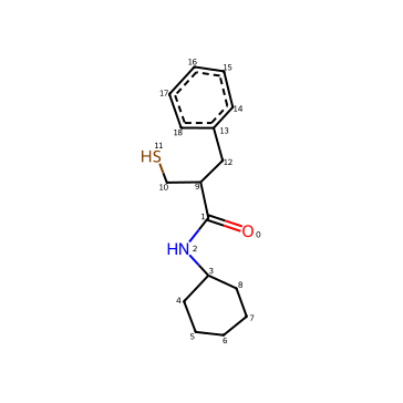 O=C(NC1CCCCC1)C(CS)Cc1ccccc1